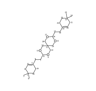 CC1(C)CC=C(CCC2OCC3(CO2)COC(CCC2=CCC(C)(C)CC2)OC3)CC1